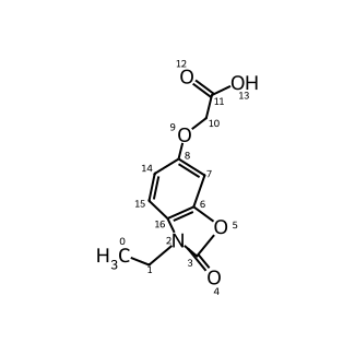 CCn1c(=O)oc2cc(OCC(=O)O)ccc21